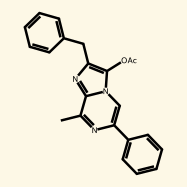 CC(=O)Oc1c(Cc2ccccc2)nc2c(C)nc(-c3ccccc3)cn12